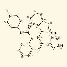 CN1CCC(NC(=O)C(c2cccnc2)N(C(=O)c2c[nH]cn2)C2c3ccccc3CC2O)CC1